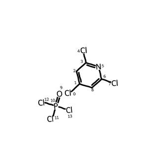 Clc1cc(Cl)nc(Cl)c1.O=P(Cl)(Cl)Cl